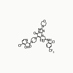 CCc1c(N2CCN(C(=O)c3nccc(Cl)c3O)CC2)c(=O)n2nc(N3CCOCC3)nc2n1CC(=O)Nc1ccc(C(F)(F)F)cc1Cl